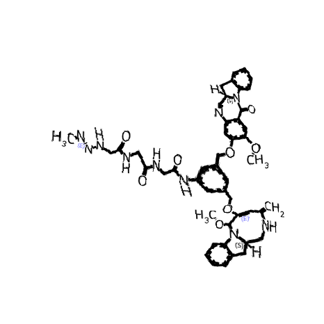 C=C1/C=C(/OCc2cc(COc3cc4c(cc3OC)C(=O)N3c5ccccc5C[C@H]3C=N4)cc(NC(=O)CNC(=O)CNC(=O)CN/N=N/C)c2)C(OC)N2c3ccccc3C[C@H]2CN1